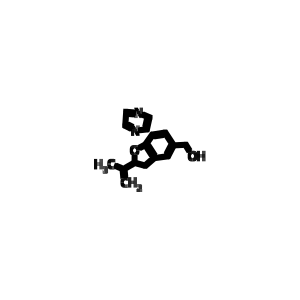 C=C(C)C1Cc2cc(CO)ccc2O1.c1cnccn1